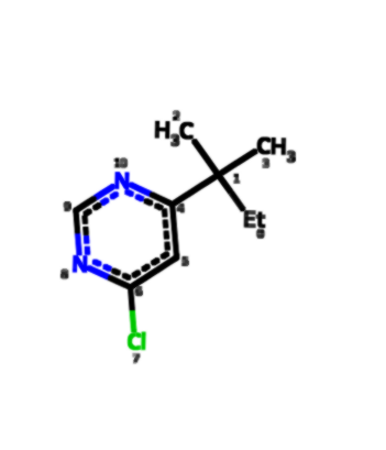 CCC(C)(C)c1cc(Cl)ncn1